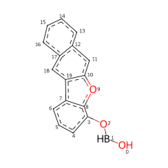 OBOc1cccc2c1oc1cc3ccccc3cc12